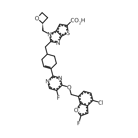 O=C(O)c1cc2c(nc(CC3CC=C(c4ncc(F)c(OCc5ccc(Cl)c6cc(F)oc56)n4)CC3)n2C[C@@H]2CCO2)s1